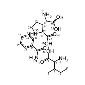 CCC(C)C(N)C(=O)O.NC(=O)c1cccnc1.NCC(=O)O.O=C(O)[C@@H]1CCCN1